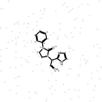 C=CC(c1ncc[nH]1)N1CCN(c2ccccc2)C1=O